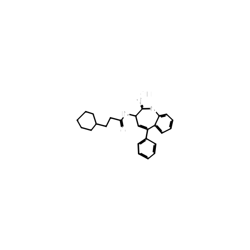 O=C(CCC1CCCCC1)NC1C=C(c2ccccc2)c2ccccc2N/C1=N\O